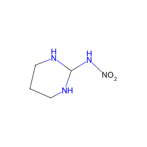 O=[N+]([O-])NC1NCCCN1